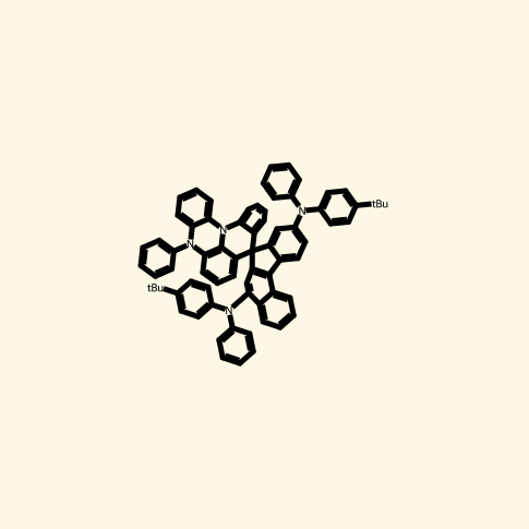 CC(C)(C)c1ccc(N(c2ccccc2)c2ccc3c(c2)C2(c4ccccc4N4c5ccccc5N(c5ccccc5)c5cccc2c54)c2cc(N(c4ccccc4)c4ccc(C(C)(C)C)cc4)c4ccccc4c2-3)cc1